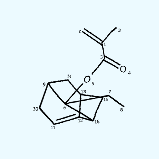 C=C(C)C(=O)OC1(CC)C2CC=C3C(C2)CC31